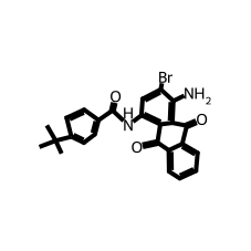 CC(C)(C)c1ccc(C(=O)Nc2cc(Br)c(N)c3c2C(=O)c2ccccc2C3=O)cc1